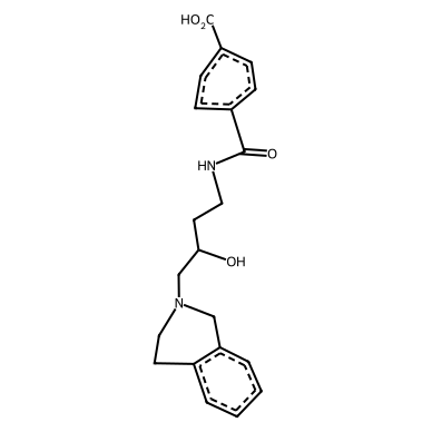 O=C(O)c1ccc(C(=O)NCCC(O)CN2CCc3ccccc3C2)cc1